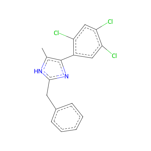 Cc1[nH]c(Cc2ccccc2)nc1-c1cc(Cl)c(Cl)cc1Cl